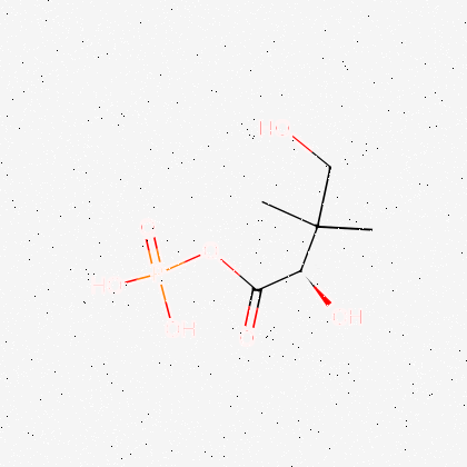 CC(C)(CO)[C@@H](O)C(=O)OP(=O)(O)O